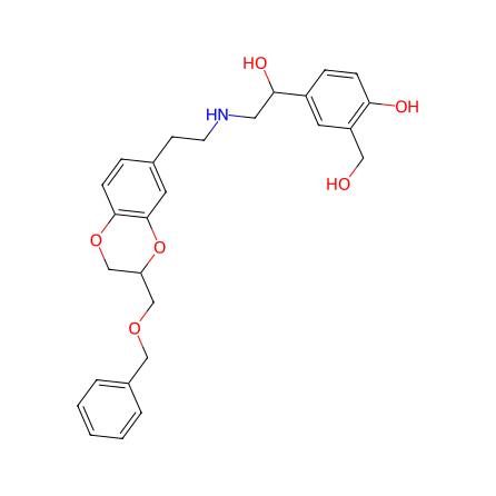 OCc1cc(C(O)CNCCc2ccc3c(c2)OC(COCc2ccccc2)CO3)ccc1O